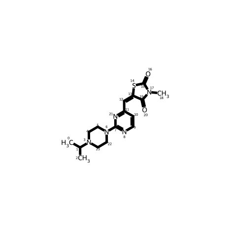 CC(C)N1CCN(c2nccc(C=C3SC(=O)N(C)C3=O)n2)CC1